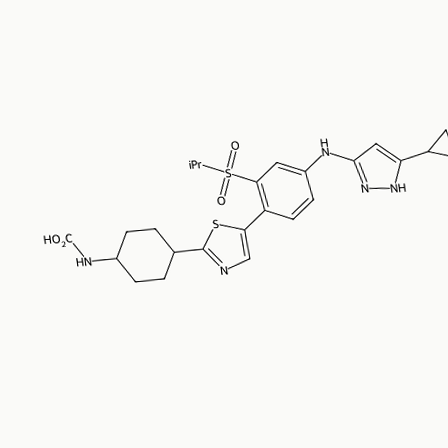 CC(C)S(=O)(=O)c1cc(Nc2cc(C3CC3)[nH]n2)ccc1-c1cnc(C2CCC(NC(=O)O)CC2)s1